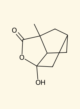 CC12CC3CC1C(O)(C3)OC2=O